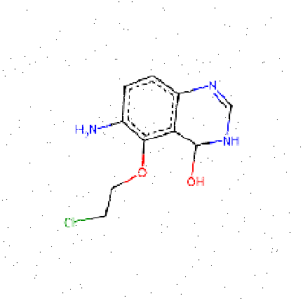 Nc1ccc2c(c1OCCCl)C(O)NC=N2